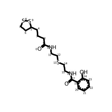 O=C(CCCC1CCSS1)NCCSCCNC(=O)c1ccccc1O